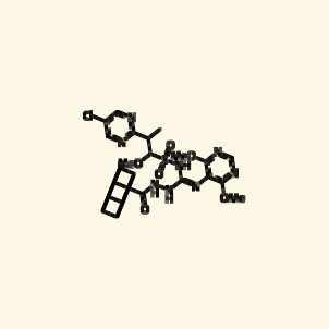 COc1ncnc(OC)c1/N=C(/NNC(=O)C12C3C4C5C3C1C5C42)NS(=O)(=O)C(OC)C(C)c1ncc(Cl)cn1